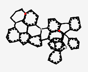 c1ccc(C2(c3ccccc3)c3ccccc3-c3ccc(N(c4ccccc4-c4cccc5cccc(C6CCCCC6)c45)c4ccccc4-c4cccc5sc6ccccc6c45)cc32)cc1